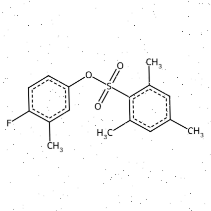 Cc1cc(C)c(S(=O)(=O)Oc2ccc(F)c(C)c2)c(C)c1